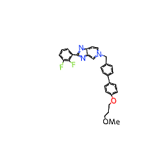 COCCCOc1ccc(-c2ccc(Cn3ccc4nc(-c5cccc(F)c5F)nc-4c3)cc2)cc1